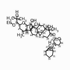 CCO[C@@H](C1C[C@@H](C)[C@H]2C(O1)[C@H](O)[C@@]1(C)C3CC[C@H]4C(C)(C)[C@@H](O[C@H]5CN(C6CC7CCCC6N7C)CCO5)CC[C@@]45C[C@@]35CC[C@]21C)C(C)(C)O